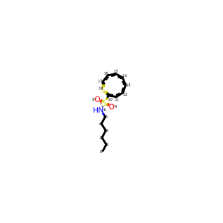 CCCCCCNS(=O)(=O)c1cccccccs1